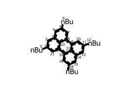 CCCCc1cc2cc(CCCC)cc3c4cc(CCCC)cc5cc(CCCC)cc(c(c1)c23)c54